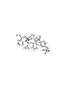 O=C(O)c1ccccc1C(=O)N(C1CC1)[C@H]1c2ccccc2N(C(=O)c2ccc(OC(F)(F)F)cc2)[C@@H]2CCC[C@@H]21